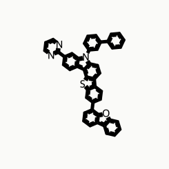 c1ccc(-c2cccc(-n3c4cc(-c5ncccn5)ccc4c4c5sc6cc(-c7cccc8c7oc7ccccc78)ccc6c5ccc43)c2)cc1